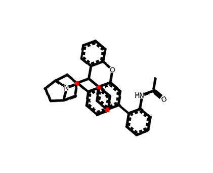 CC(=O)Nc1ccccc1-c1ccc2c(c1)Oc1ccccc1C2C1CC2CCC(C1)N2Cc1ccccc1